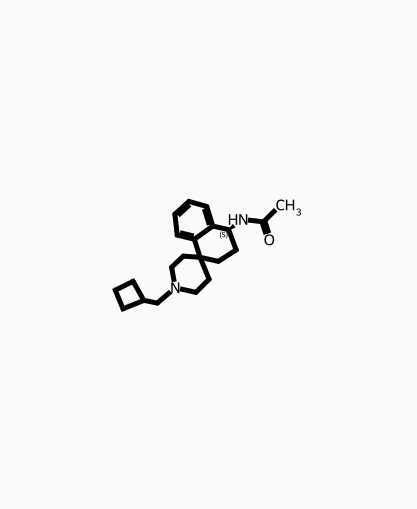 CC(=O)N[C@H]1CCC2(CCN(CC3CCC3)CC2)c2ccccc21